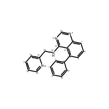 c1ccc(-c2cccc3ncnc(NCc4ccccn4)c23)cc1